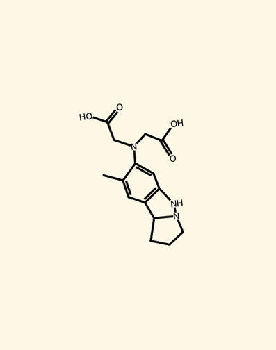 Cc1cc2c(cc1N(CC(=O)O)CC(=O)O)NN1CCCC21